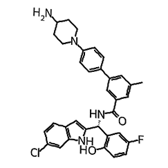 Cc1cc(C(=O)N[C@@H](c2cc3ccc(Cl)cc3[nH]2)c2cc(F)ccc2O)cc(-c2ccc(N3CCC(N)CC3)cc2)c1